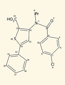 CC(C)N(C(=O)c1ccc(Cl)cc1)c1cc(-c2ccccc2)sc1C(=O)O